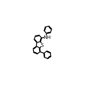 c1ccc(Nc2cccc3c2sc2c(-c4ccccc4)cccc23)cc1